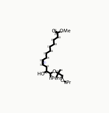 CCCCCC(OC(C)(C)COC(C)C)C(O)C/C=C\CCCCCCCC(=O)OC